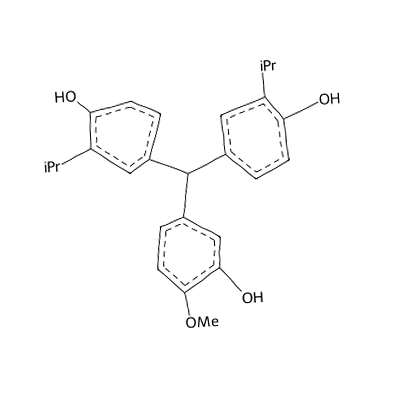 COc1ccc(C(c2ccc(O)c(C(C)C)c2)c2ccc(O)c(C(C)C)c2)cc1O